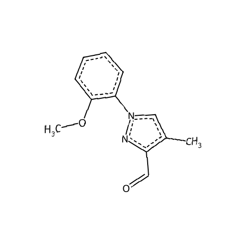 COc1ccccc1-n1cc(C)c(C=O)n1